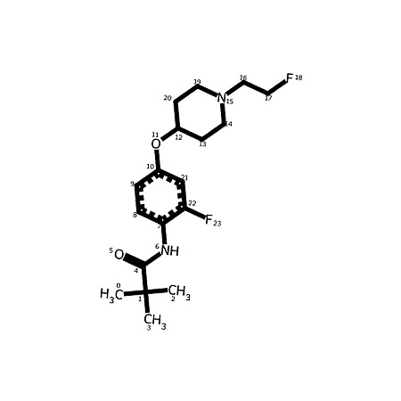 CC(C)(C)C(=O)Nc1ccc(OC2CCN(CCF)CC2)cc1F